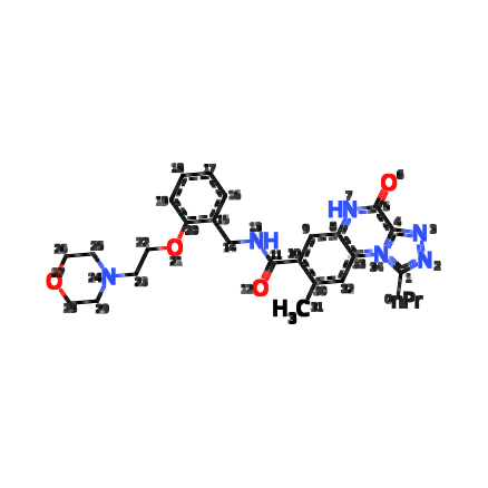 CCCc1nnc2c(=O)[nH]c3cc(C(=O)NCc4ccccc4OCCN4CCOCC4)c(C)cc3n12